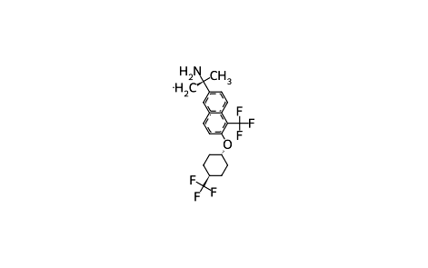 [CH2][C@](C)(N)c1ccc2c(C(F)(F)F)c(O[C@H]3CC[C@H](C(F)(F)F)CC3)ccc2c1